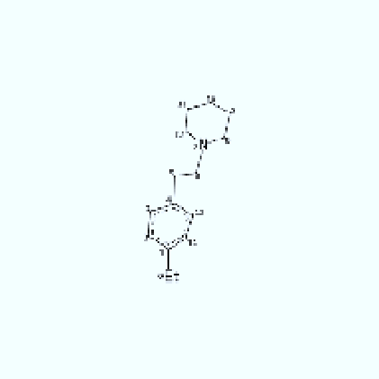 CCc1ccc(CCN2CCCCC2)cc1